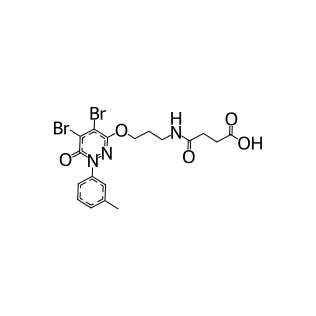 Cc1cccc(-n2nc(OCCCNC(=O)CCC(=O)O)c(Br)c(Br)c2=O)c1